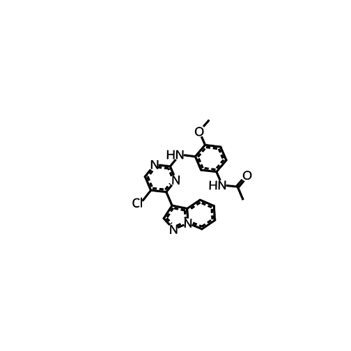 COc1ccc(NC(C)=O)cc1Nc1ncc(Cl)c(-c2cnn3ccccc23)n1